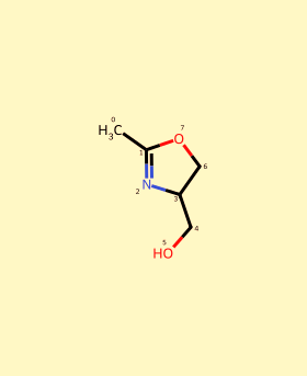 CC1=N[C](CO)CO1